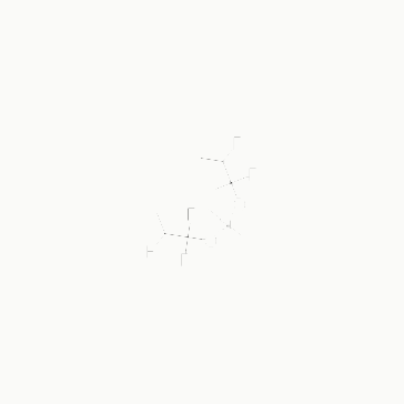 CC(F)C(F)(F)O[Si](C)(C)OC(F)(F)C(C)F